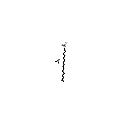 CCCCCCCCCCCCCCCCO[N+](=O)[O-].CN(C)C